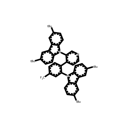 CC(C)(C)c1ccc2c(c1)c1cc(C(C)(C)C)ccc1n2-c1cnccc1-c1ccc(C(F)(F)F)cc1-n1c2ccc(C(C)(C)C)cc2c2cc(C(C)(C)C)ccc21